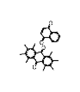 Cc1c(C)c(C)c2c(c1C)C(=O)c1c(C)c(C)c(C)c(C)c1C2=O.O=C1C=CC(=O)c2ccccc21